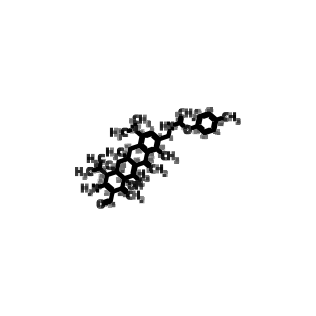 C=C(NCc1cc(N(C)C)c2c(c1C)C(=C)C1=C(C)[C@]3(O)C(=C)C(C=O)=C(N)[C@@H](C(C)C)[C@]3(C)C[C@]1(C)C2)Oc1ccc(C)cc1